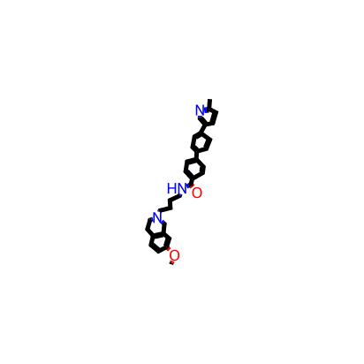 COc1ccc2c(c1)CN(CCCCNC(=O)c1ccc(-c3ccc(-c4ccc(C)nc4)cc3)cc1)CC2